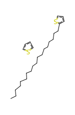 CCCCCCCCCCCCCCCCCCc1cccs1.c1ccsc1